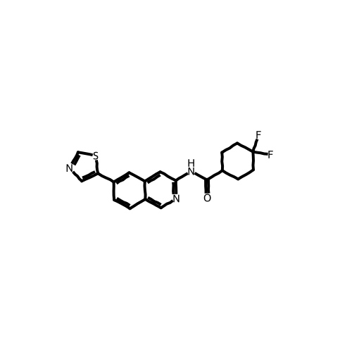 O=C(Nc1cc2cc(-c3cncs3)ccc2cn1)C1CCC(F)(F)CC1